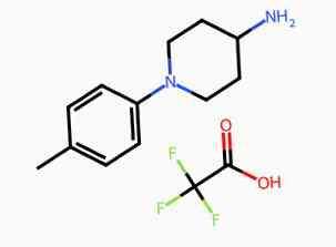 Cc1ccc(N2CCC(N)CC2)cc1.O=C(O)C(F)(F)F